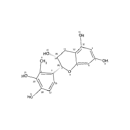 Cc1c([C@H]2Oc3cc(O)cc(O)c3C[C@H]2O)ccc(O)c1O